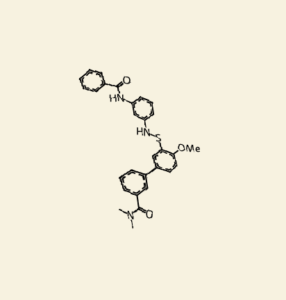 COc1ccc(-c2cccc(C(=O)N(C)C)c2)cc1SNc1cccc(NC(=O)c2ccccc2)c1